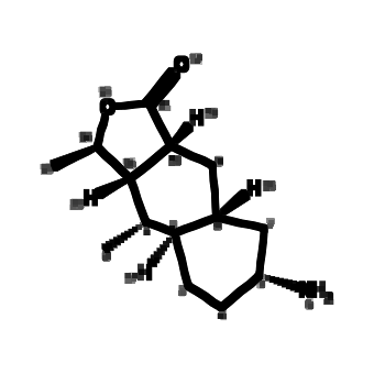 C[C@H]1[C@@H]2CC[C@@H](N)C[C@H]2C[C@H]2C(=O)O[C@H](C)[C@@H]12